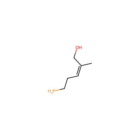 C/C(=C/CCP)CO